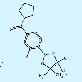 CC1(C)OB(c2ccc(C(=O)N3CCCC3)cc2F)OC1(C)C